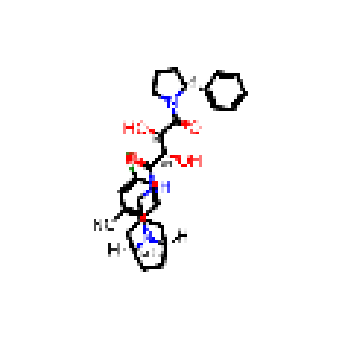 N#Cc1cc(F)ccc1N1[C@@H]2CC[C@H]1CC(CNC(=O)[C@H](O)[C@@H](O)C(=O)N1CCC[C@@H]1c1ccccc1)C2